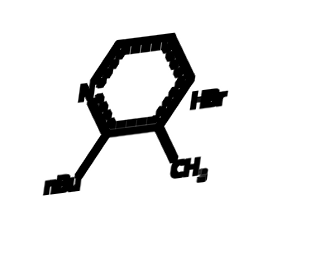 Br.CCCCc1ncccc1C